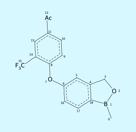 CB1OCc2cc(Oc3ccc(C(C)=O)cc3C(F)(F)F)ccc21